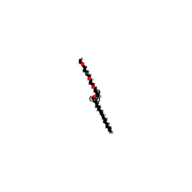 CCCCCC/C=C/CCCCCCCCOC(C)CS(=O)(=O)CCCCCCCCCCCCCCCC